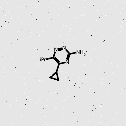 CC(C)c1nnc(N)nc1C1CC1